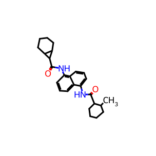 CC1CCCCC1C(=O)Nc1cccc2c(NC(=O)C3C4CCCCC43)cccc12